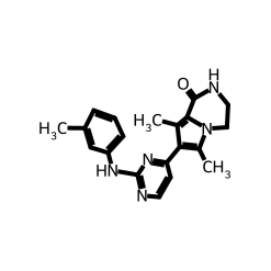 Cc1cccc(Nc2nccc(-c3c(C)c4n(c3C)CCNC4=O)n2)c1